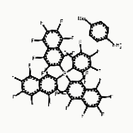 CC(C)(C)c1ccc([NH3+])cc1.Fc1c(F)c(F)c([B-](c2c(F)c(F)c3c(F)c(F)c(F)c(F)c3c2F)(c2c(F)c(F)c3c(F)c(F)c(F)c(F)c3c2F)c2c(F)c(F)c3c(F)c(F)c(F)c(F)c3c2F)c(F)c1F